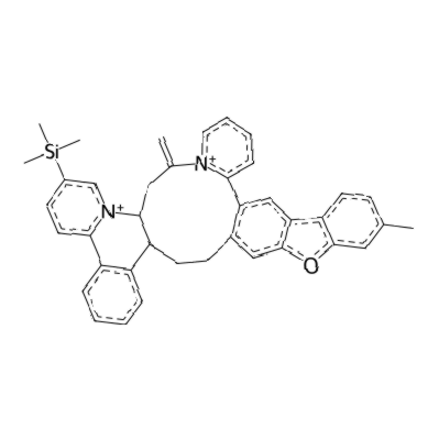 C=C1CC2C(CCc3cc4oc5cc(C)ccc5c4cc3-c3cccc[n+]31)c1ccccc1-c1ccc([Si](C)(C)C)c[n+]12